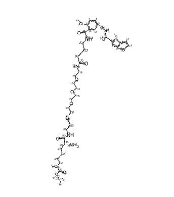 COc1ccc(NC(=O)c2cn3ccsc3n2)cc1C(=O)NCCCC(=O)NCCOCCOCCOCCOCCNC(=O)[C@H](N)CCCCNC(=O)OC(C)(C)C